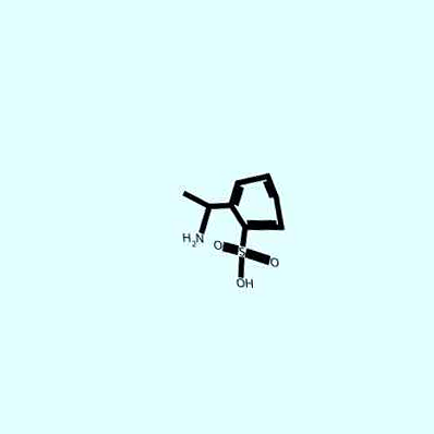 CC(N)c1ccccc1S(=O)(=O)O